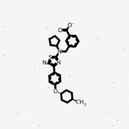 C[C@H]1CC[C@H](Oc2ccc(-c3csc(N(Cc4cccc(C(=O)[O-])c4)C4CCCC4)n3)cc2)CC1.[Na+]